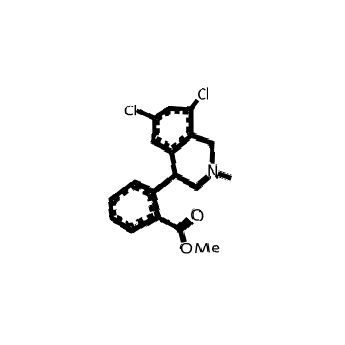 COC(=O)c1ccccc1C1CN(C)Cc2c(Cl)cc(Cl)cc21